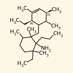 CCCC1(N)C(C)(CC)CCC(C)C1(C)CC1C(C)[C@H](C)C=C(C)[C@@H]1CC